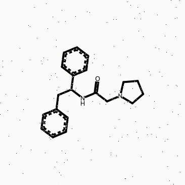 O=C(CN1CCCC1)NC(Cc1ccccc1)c1ccccc1